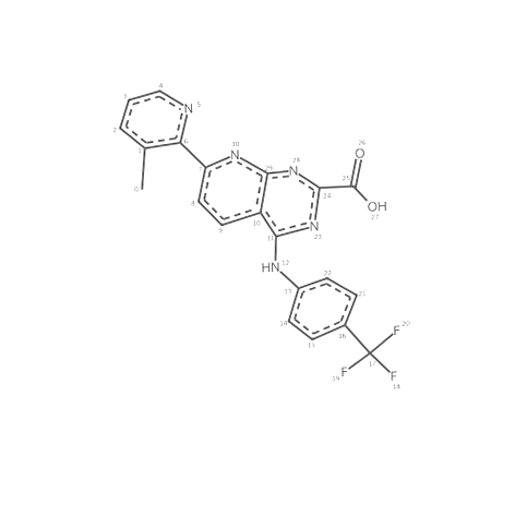 Cc1cccnc1-c1ccc2c(Nc3ccc(C(F)(F)F)cc3)nc(C(=O)O)nc2n1